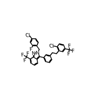 Fc1cc(Cl)ccc1Cn1nc2c(C(F)(F)F)cccc2c1-c1cccc(CCc2cc(C(F)(F)F)ccc2Cl)c1